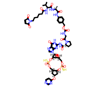 CC(C)[C@H](NC(=O)CCCCCN1C(=O)C=CC1=O)C(=O)N[C@@H](C)C(=O)Nc1ccc(COC(=O)NCC(=O)N2CCC[C@@H]2C(=O)Nc2nc3c(ncn3[C@@H]3O[C@@H]4CO[P@@](=O)(S)O[C@H]5C[C@H](Oc6ccncn6)C[C@@H]5CO[P@@](=O)(S)O[C@@H]3[C@@H]4O)c(=O)[nH]2)cc1